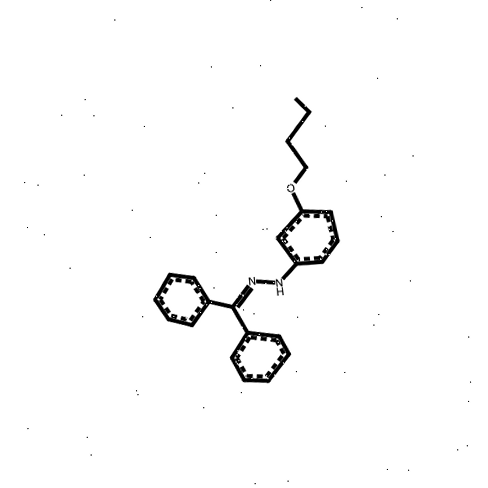 CCCCOc1cccc(NN=C(c2ccccc2)c2ccccc2)c1